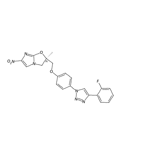 C[C@]1(COc2ccc(-n3cc(-c4ccccc4F)nn3)cc2)Cn2cc([N+](=O)[O-])nc2O1